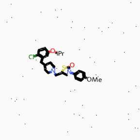 COc1ccc(N2CC(CN3CCC(Cc4cc(OC(C)C)ccc4Cl)CC3)SC2=O)cc1